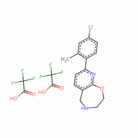 Cc1cc(Cl)ccc1-c1ccc2c(n1)OCCNC2.O=C(O)C(F)(F)F.O=C(O)C(F)(F)F